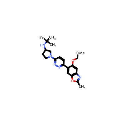 COCOc1cc2nc(C)oc2cc1-c1ccc(N2CCC(NC(C)(C)C(C)C)C2)nn1